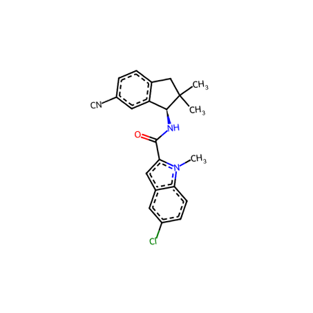 [C-]#[N+]c1ccc2c(c1)[C@H](NC(=O)c1cc3cc(Cl)ccc3n1C)C(C)(C)C2